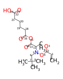 C=CC(=O)ON(CC(C)(C)C)C(C)C(=O)OC(=O)CCCCC(=O)O